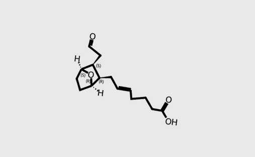 O=CC[C@H]1[C@@H](CC=CCCCC(=O)O)[C@H]2CC[C@@H]1O2